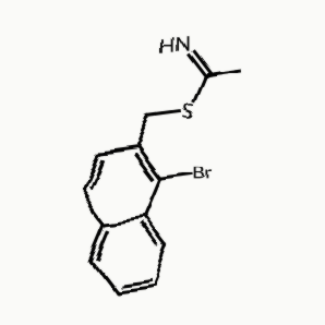 CC(=N)SCc1ccc2ccccc2c1Br